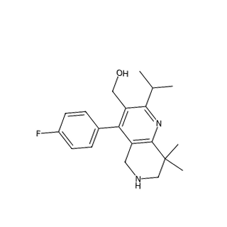 CC(C)c1nc2c(c(-c3ccc(F)cc3)c1CO)CNCC2(C)C